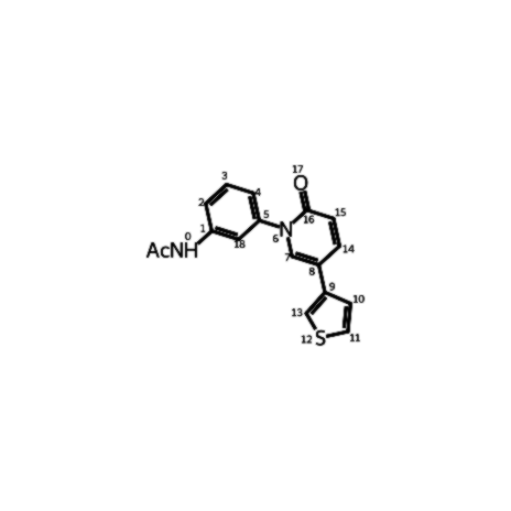 CC(=O)Nc1cccc(-n2cc(-c3ccsc3)ccc2=O)c1